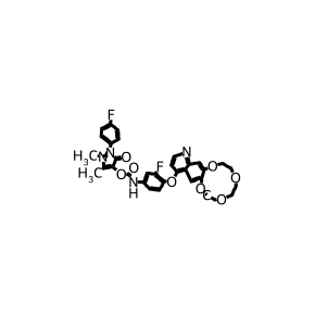 Cc1c(OC(=O)Nc2ccc(Oc3ccnc4cc5c(cc34)OCCOCCOCCO5)c(F)c2)c(=O)n(-c2ccc(F)cc2)n1C